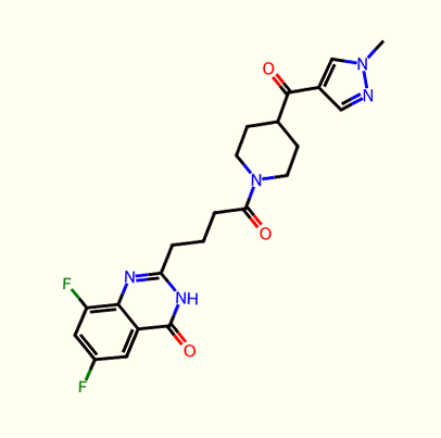 Cn1cc(C(=O)C2CCN(C(=O)CCCc3nc4c(F)cc(F)cc4c(=O)[nH]3)CC2)cn1